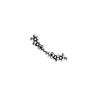 N#Cc1ccc(-c2ccc(OC(=O)CCCCCCCC(=O)Oc3ccc(-c4ccc(F)c(F)c4)c(F)c3)cc2F)cc1F